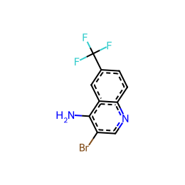 Nc1c(Br)cnc2ccc(C(F)(F)F)cc12